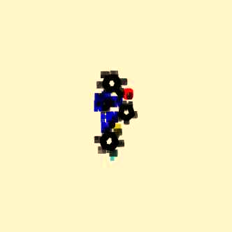 O=C(N[C@@H]1CCC[C@@H]1Nc1nc2ccc(F)cc2s1)c1ccccc1-n1ccnn1